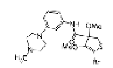 COC1=C(Br)SCC1(OC)C(=O)Nc1cccc(N2CCN(C)CC2)c1